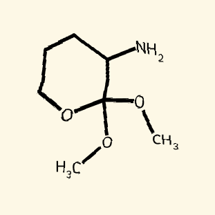 COC1(OC)OCCCC1N